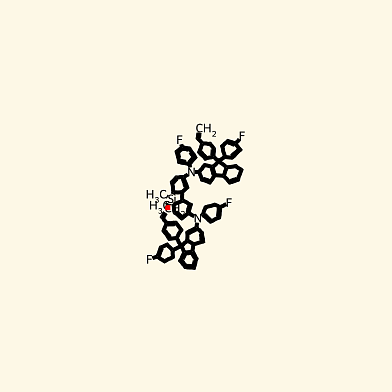 C=CC1=CCC(C2(C3CC=C(F)CC3)c3ccccc3C3C=CC(N(C4=CC5C6C=C(N(c7ccc(F)cc7)C7C=CC8=C(C7)C(C7=CCC(C=C)C=C7)(C7C=CC(F)=CC7)C7CCC=CC87)C=CC6[Si](C)(C)C5C=C4)C4=CC=C(F)CC4)=CC32)C=C1